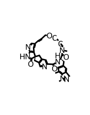 Cc1cc(C[C@H]2NC(=O)c3cc4c(cn3)C[C@@]3(C4)C(=O)Nc4ncc(cc43)/C=C/COCCCCN(C)C2=O)cc2cnn(C)c12